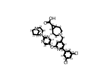 O=C(O)C1C2CCN(Cc3cc(Oc4cnc(N5CCN6CCC5C6)nc4)nc(-c4cc(Cl)cc(Cl)c4)c3)CCC21